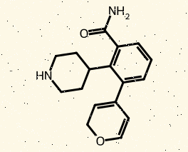 NC(=O)c1cccc(C2=CCOC=C2)c1C1CCNCC1